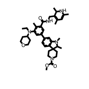 CCN(c1cc(-c2ccc3c(c2)N(C)C(C)C32CCN(C(=O)OC)CC2)cc(C(=O)NCC2=C(C)C=C(C)NC2C)c1C)C1CCOCC1